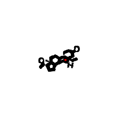 CC[C@]12CC(=O)CC[C@@]13CS[C@@H]2CC1C3CC[C@@]2(C)C1CC[C@@H]2C(C)=O